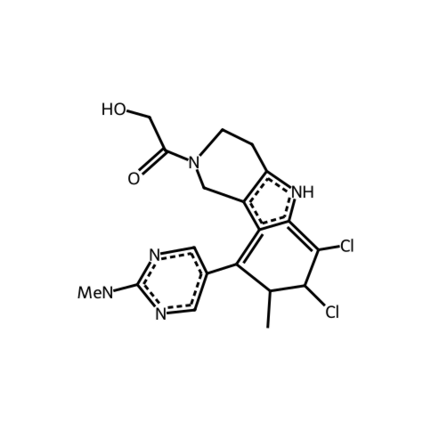 CNc1ncc(C2=c3c4c([nH]c3=C(Cl)C(Cl)C2C)CCN(C(=O)CO)C4)cn1